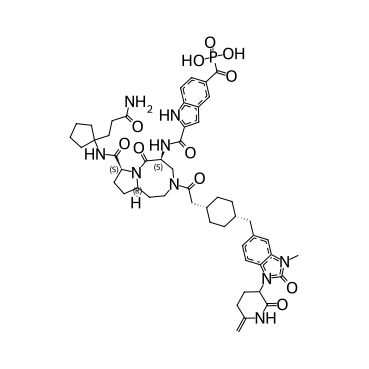 C=C1CCC(n2c(=O)n(C)c3cc(C[C@H]4CC[C@@H](CC(=O)N5CC[C@H]6CC[C@@H](C(=O)NC7(CCC(N)=O)CCCC7)N6C(=O)[C@@H](NC(=O)c6cc7cc(C(=O)P(=O)(O)O)ccc7[nH]6)C5)CC4)ccc32)C(=O)N1